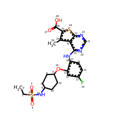 CCS(=O)(=O)NC1CCC(Oc2cc(F)ccc2Nc2ncnc3sc(C(=O)O)c(C)c23)CC1